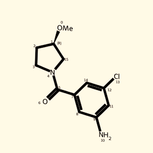 CO[C@@H]1CCN(C(=O)c2cc(N)cc(Cl)c2)C1